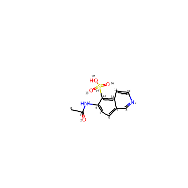 CC(=O)Nc1ccc2cnccc2c1S(=O)(=O)O